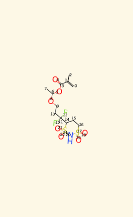 C=C(C)C(=O)OC(C)OCCC(F)(F)C1CCS(=O)(=O)NS1(=O)=O